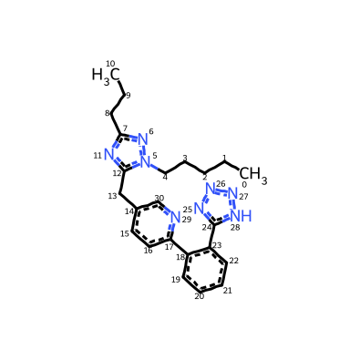 CCCCCn1nc(CCC)nc1Cc1ccc(-c2ccccc2-c2nnn[nH]2)nc1